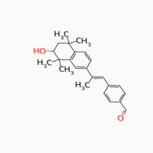 CC(=Cc1ccc(C=O)cc1)c1ccc2c(c1)C(C)(C)C(O)CC2(C)C